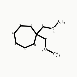 COCC1(COC)CCCCCC1